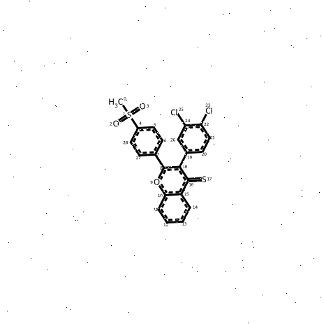 CS(=O)(=O)c1ccc(-c2oc3ccccc3c(=S)c2-c2ccc(Cl)c(Cl)c2)cc1